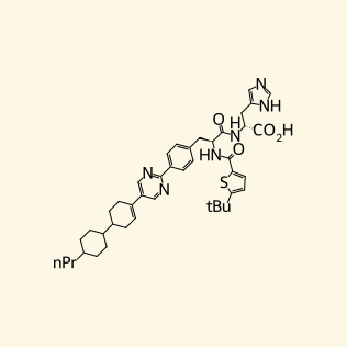 CCCC1CCC(C2CC=C(c3cnc(-c4ccc(C[C@H](NC(=O)c5ccc(C(C)(C)C)s5)C(=O)N[C@H](Cc5cnc[nH]5)C(=O)O)cc4)nc3)CC2)CC1